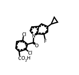 O=C(O)c1ccc(Cl)c(C(=O)n2ccc3cc(C4CC4)cc(F)c32)c1Cl